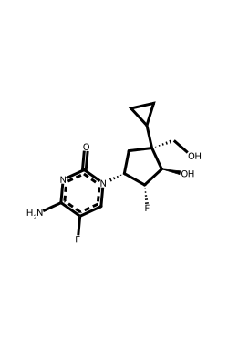 Nc1nc(=O)n([C@@H]2C[C@@](CO)(C3CC3)[C@@H](O)[C@@H]2F)cc1F